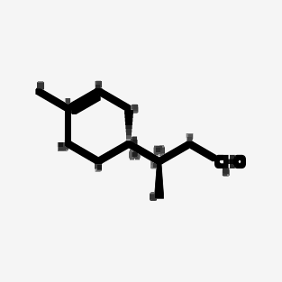 CC1=CC[C@H]([C@H](C)CC=O)CC1